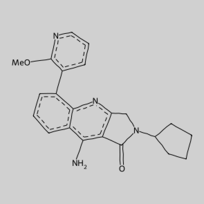 COc1ncccc1-c1cccc2c(N)c3c(nc12)CN(C1CCCC1)C3=O